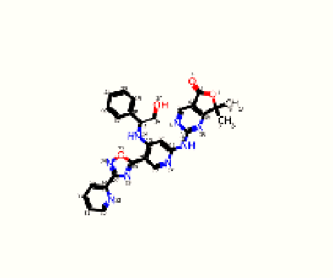 CC1(C)OC(=O)c2cnc(Nc3cc(N[C@H](CO)c4ccccc4)c(-c4nc(-c5ccccn5)no4)cn3)nc21